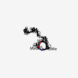 COc1cc2cc(c1Cl)N(C)C(=O)C[C@H](OC(=O)[C@H](C)N(C)C(=O)CCSSC(C)(C)CC(=O)N/N=C(/C)c1nn(CCCC(=O)ON3C(=O)CCC3=O)c(=O)n1C)C(C)(O)C[C@H](C)[C@@H]1C[C@@](O)(NC(=O)O1)[C@H](OC)/C=C/C=C(\C)C2